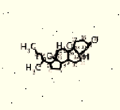 CCCC(C)C1CCC2C3CC[C@@H]4CC(=O)CCC4(C)C3CCC12C